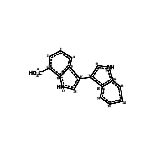 O=C(O)c1cccc2c(-c3c[nH]c4ccccc34)c[nH]c12